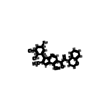 Cc1cc2c(C(C)(C)C)c(C(=O)N[C@H]3CCOc4ccccc43)cnn2c1-c1cc(F)cc(Cl)c1Cl